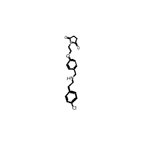 O=C1CCC(=O)N1CCOc1ccc(CNCCc2ccc(Cl)cc2)cc1